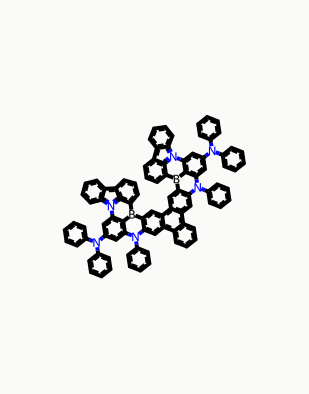 c1ccc(N(c2ccccc2)c2cc3c4c(c2)-n2c5ccccc5c5cccc(c52)B4c2cc4c5cc6c(cc5c5ccccc5c4cc2N3c2ccccc2)N(c2ccccc2)c2cc(N(c3ccccc3)c3ccccc3)cc3c2B6c2cccc4c5ccccc5n-3c24)cc1